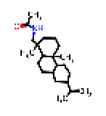 CC(=O)NCC1(C)CCC[C@]2(C)C3CCC(C(C)C)CC3CCC12